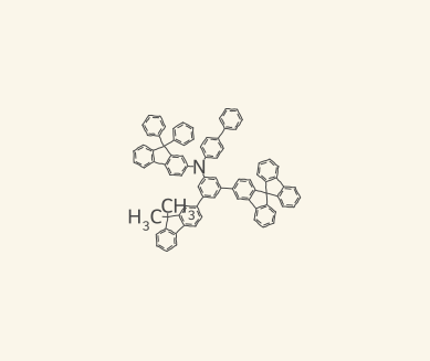 CC1(C)c2ccccc2-c2ccc(-c3cc(-c4ccc5c(c4)-c4ccccc4C54c5ccccc5-c5ccccc54)cc(N(c4ccc(-c5ccccc5)cc4)c4ccc5c(c4)C(c4ccccc4)(c4ccccc4)c4ccccc4-5)c3)cc21